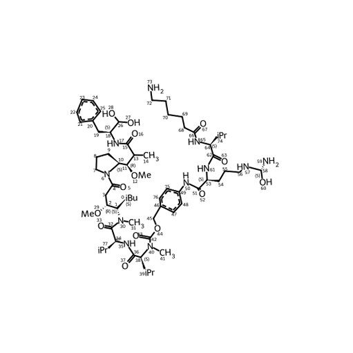 CC[C@H](C)[C@@H]([C@@H](CC(=O)N1CCC[C@H]1[C@H](OC)C(C)C(=O)N[C@@H](Cc1ccccc1)C(O)O)OC)N(C)C(=O)[C@@H](NC(=O)[C@H](C(C)C)N(C)C(=O)OCc1ccc(NC(=O)[C@H](CCCN[C@H](N)O)NC(=O)[C@@H](NC(=O)CCCCCN)C(C)C)cc1)C(C)C